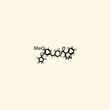 COc1ccc(CC2CCN(C(=O)c3cnnc4ccccc34)CC2)cc1OC1CCCC1